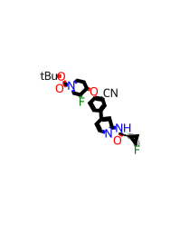 CC(C)(C)OC(=O)N1CCC(Oc2ccc(-c3ccnc(NC(=O)[C@H]4C[C@@H]4F)c3)cc2C#N)C(F)C1